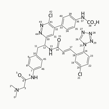 CN(C)CC(=O)Nc1ccc(CC(NC(=O)C=Cc2cc(Cl)ccc2-n2cnnn2)c2cc(-c3ccc(NC(=O)O)cc3)c(Cl)nn2)cc1